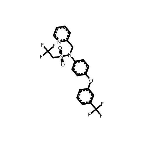 O=S(=O)(CC(F)(F)F)N(Cc1ccccn1)c1ccc(Oc2cccc(C(F)(F)F)c2)cc1